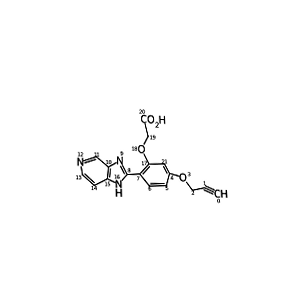 C#CCOc1ccc(-c2nc3cnccc3[nH]2)c(OCC(=O)O)c1